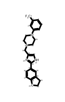 FC(F)(F)c1cccc(N2CCN(Cc3c[nH]c(-c4ccc5c(c4)CCO5)n3)CC2)c1